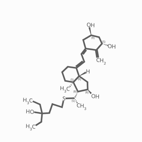 C=C1C(=CC=C2CCC[C@]3(C)[C@@H]([C@H](C)SCCCC(O)(CC)CC)[C@H](O)C[C@@H]23)C[C@@H](O)C[C@@H]1O